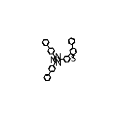 c1ccc(-c2ccc(-c3nc(-c4ccc(-c5ccccc5)cc4)nc(-c4ccc5sc6ccc(-c7ccccc7)cc6c5c4)n3)cc2)cc1